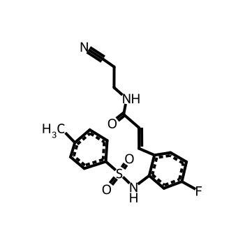 Cc1ccc(S(=O)(=O)Nc2cc(F)ccc2C=CC(=O)NCCC#N)cc1